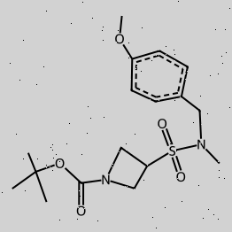 COc1ccc(CN(C)S(=O)(=O)C2CN(C(=O)OC(C)(C)C)C2)cc1